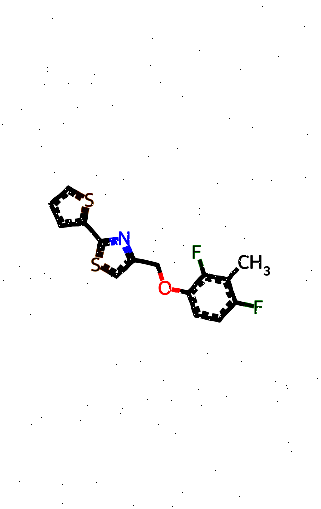 Cc1c(F)ccc(OCc2csc(-c3cccs3)n2)c1F